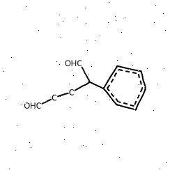 O=C[CH]CC(C=O)c1ccccc1